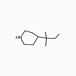 CCC(C)(C)C1CCNCC1